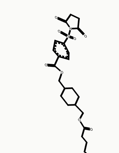 O=C(O)CCCC(=O)OCC1CCC(COC(=O)c2ccc(S(=O)(=O)N3C(=O)CCC3=O)cc2)CC1